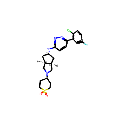 O=S1(=O)CCC(N2C[C@H]3C[C@H](Nc4ccc(-c5cc(F)ccc5Cl)nn4)C[C@H]3C2)CC1